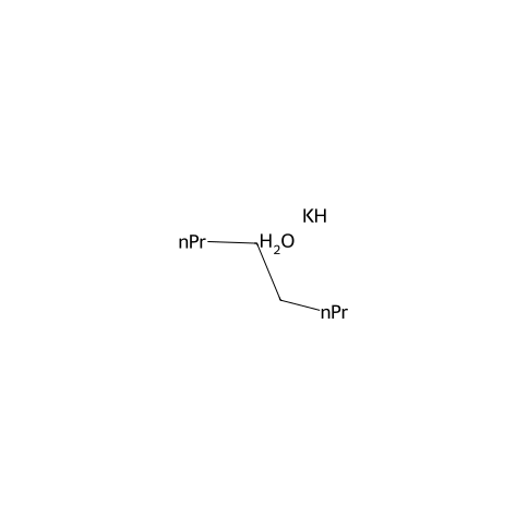 CCCCCCCC.O.[KH]